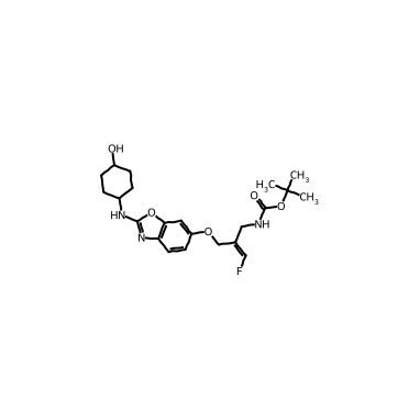 CC(C)(C)OC(=O)NC/C(=C/F)COc1ccc2nc(NC3CCC(O)CC3)oc2c1